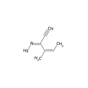 C#CC(=N/S)/C(C)=C\C